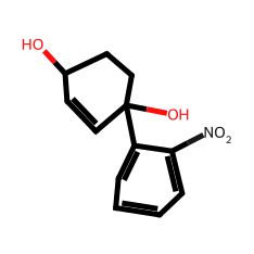 O=[N+]([O-])c1ccccc1C1(O)C=CC(O)CC1